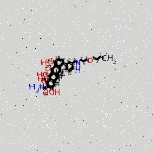 CCCCOCCCNCc1ccc(C)c(-c2ccc(O)c3c2C[C@H]2C[C@H]4CC(O)=C(C(N)=O)C(=O)[C@@]4(O)C(O)=C2C3=O)c1